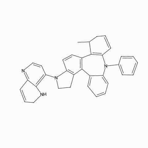 CC1CC=CC2=C1c1ccc3c(c1-c1ccccc1N2c1ccccc1)CCN3c1ccnc2c1NCC=C2